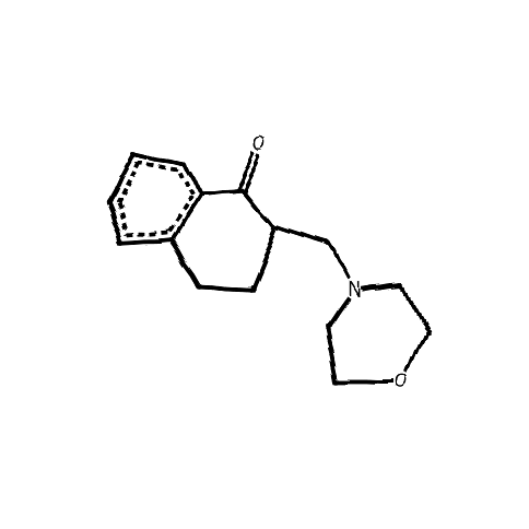 O=C1c2ccccc2CCC1CN1CCOCC1